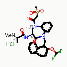 CN[C@@H](C)C(=O)N[C@@H]1C(=O)N(Cc2c(OC(F)F)ccc3ccccc23)c2ccccc2N(C(=O)CS(C)(=O)=O)[C@H]1C.Cl